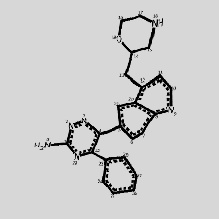 Nc1nnc(-c2ccc3nccc(CC4CNCCO4)c3c2)c(-c2ccccc2)n1